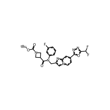 CC(C)(C)OC(=O)N1CC(C(=O)N(Cc2cn3ccc(-c4nnc(C(F)F)o4)cc3n2)c2cccc(F)c2)C1